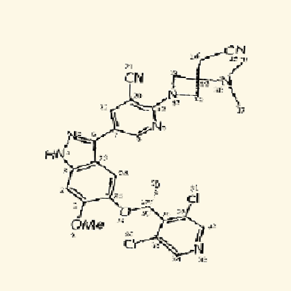 COc1cc2[nH]nc(-c3cnc(N4CC(CC#N)(N(C)C)C4)c(C#N)c3)c2cc1O[C@H](C)c1c(Cl)cncc1Cl